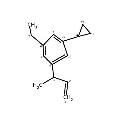 [CH2]C(C=C)c1cc(CC)cc(C2CC2)c1